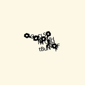 CC(C)(C)c1cc(NC(=O)NCc2ccccc2Sc2ccc3nnc(-c4ccc(OCc5ccccc5)cc4Cl)n3c2)n(-c2ccc(F)c(F)c2)n1